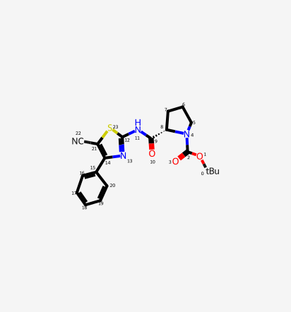 CC(C)(C)OC(=O)N1CCC[C@H]1C(=O)Nc1nc(-c2ccccc2)c(C#N)s1